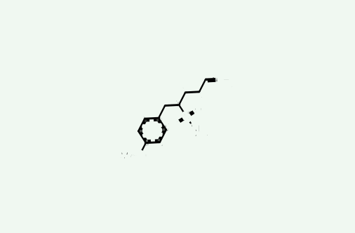 C=CCCC(Cc1ccc(OC)cc1)S(N)(=O)=O